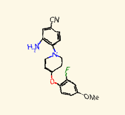 COc1ccc(OC2CCN(c3ccc(C#N)cc3N)CC2)c(F)c1